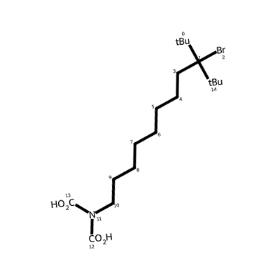 CC(C)(C)C(Br)(CCCCCCCCN(C(=O)O)C(=O)O)C(C)(C)C